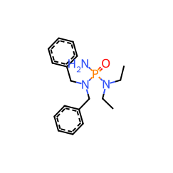 CCN(CC)P(N)(=O)N(Cc1ccccc1)Cc1ccccc1